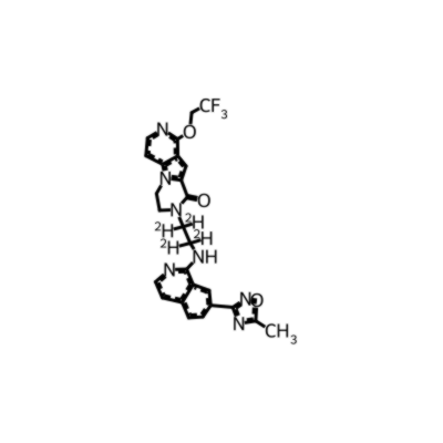 [2H]C([2H])(Nc1nccc2ccc(-c3noc(C)n3)cc12)C([2H])([2H])N1CCn2c(cc3c(OCC(F)(F)F)nccc32)C1=O